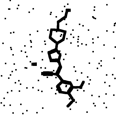 COc1ccc(C(C#N)=Cc2ccc(N3CCN(CCO)CC3)s2)cc1OC.Cl